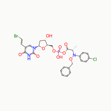 C[C@@H](C(=O)OP(=O)(O)OC[C@H]1O[C@@H](n2cc(/C=C/Br)c(=O)[nH]c2=O)C[C@@H]1O)N(OCc1ccccc1)c1ccc(Cl)cc1